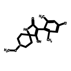 CON1CCC2(CC1)NC(=O)C(c1c(C)cc(Cl)cc1C)=C2O